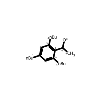 CCCCc1cc(CCCC)c(C(C)[O])c(CCCC)c1